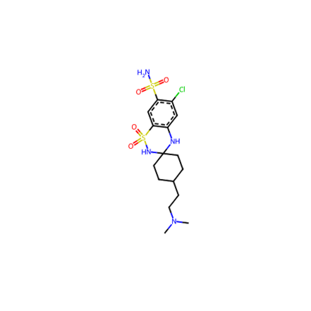 CN(C)CCC1CCC2(CC1)Nc1cc(Cl)c(S(N)(=O)=O)cc1S(=O)(=O)N2